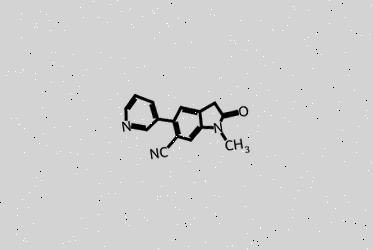 CN1C(=O)Cc2cc(-c3cccnc3)c(C#N)cc21